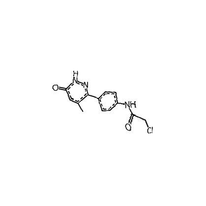 Cc1cc(=O)[nH]nc1-c1ccc(NC(=O)CCl)cc1